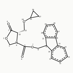 O=C1OCN(C(=O)OCC2c3ccccc3-c3ccccc32)[C@H]1COC1CC1